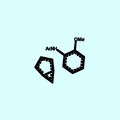 COc1ccccc1NC(C)=O.c1cc2cc-2c1